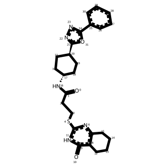 O=C(CCSc1nc2c(c(=O)[nH]1)CCCC2)N[C@H]1CC[C@H](c2nnc(-c3ccccc3)o2)CC1